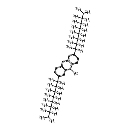 [2H]C([2H])C([2H])([2H])C([2H])([2H])C([2H])([2H])C([2H])([2H])C([2H])([2H])C([2H])([2H])C([2H])([2H])c1ccc2c(Br)c3cc(C([2H])([2H])C([2H])([2H])C([2H])([2H])C([2H])([2H])C([2H])([2H])C([2H])([2H])C([2H])([2H])C([2H])[2H])ccc3cc2c1